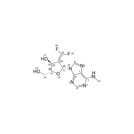 CNc1ncnc2c1ncn2[C@@H]1O[C@H](CO)[C@@H](O)C1=C(F)F